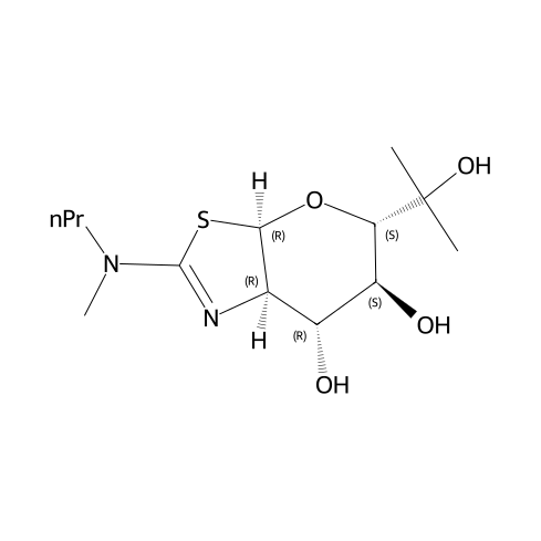 CCCN(C)C1=N[C@@H]2[C@@H](O)[C@H](O)[C@@H](C(C)(C)O)O[C@@H]2S1